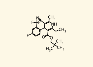 CCC1=C(C(=O)OCC(C)(C)C)C(c2ccc(F)cc2C(F)(F)F)C(C#N)=C(C)N1